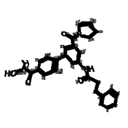 O=C(CCc1ccccc1)Nc1cc(C(=O)N2CCCC2)cc(-c2ccc(C(=O)NO)cc2)c1